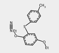 CCOc1ccc(OCC)c(Sc2ccc(C)cc2)c1.N#N